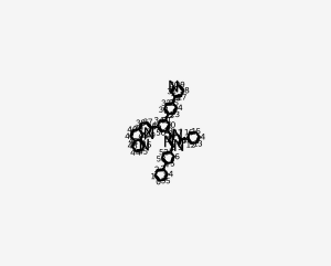 c1ccc(-c2ccc(-c3nc(-c4ccccc4)nc(-c4cc(-c5ccc(-c6cccnc6)cc5)cc(-c5ccc6ccc7cccnc7c6n5)c4)n3)cc2)cc1